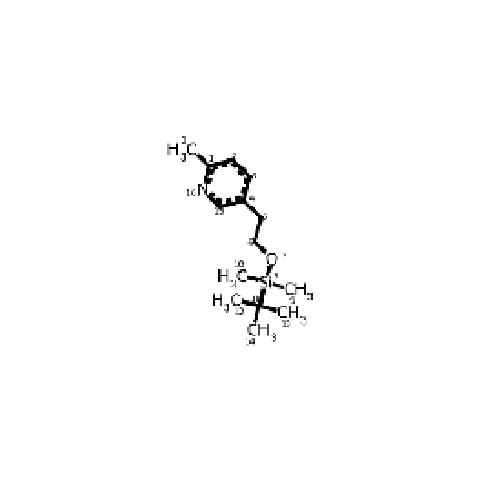 Cc1ccc(CCO[Si](C)(C)C(C)(C)C)cn1